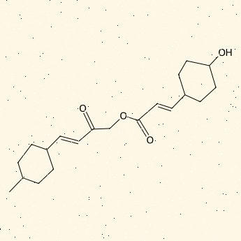 CC1CCC(/C=C/C(=O)COC(=O)/C=C/C2CCC(O)CC2)CC1